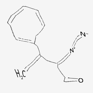 C=C(C(C=O)=[N+]=[N-])c1ccccc1